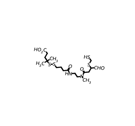 CN(CCNC(=O)CCCSSC(C)(C)CCC(=O)O)C(=O)CC(C=O)SCS